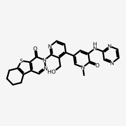 Cn1cc(-c2ccnc(-n3ncc4c5c(sc4c3=O)CCCC5)c2CO)cc(Nc2cnccn2)c1=O